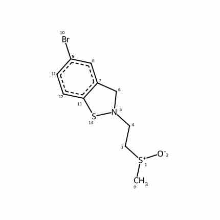 C[S+]([O-])CCN1Cc2cc(Br)ccc2S1